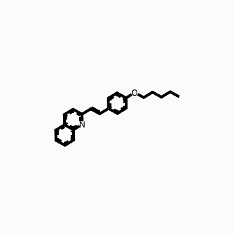 CCCCCOc1ccc(C=Cc2ccc3ccccc3n2)cc1